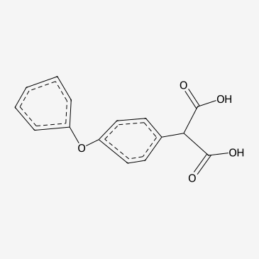 O=C(O)C(C(=O)O)c1ccc(Oc2ccccc2)cc1